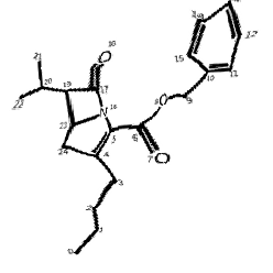 CCCCC1=C(C(=O)OCc2ccccc2)N2C(=O)C(C(C)C)C2C1